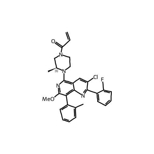 C=CC(=O)N1CCN(c2nc(OC)c(-c3ccccc3C)c3nc(-c4ccccc4F)c(Cl)cc23)[C@@H](C)C1